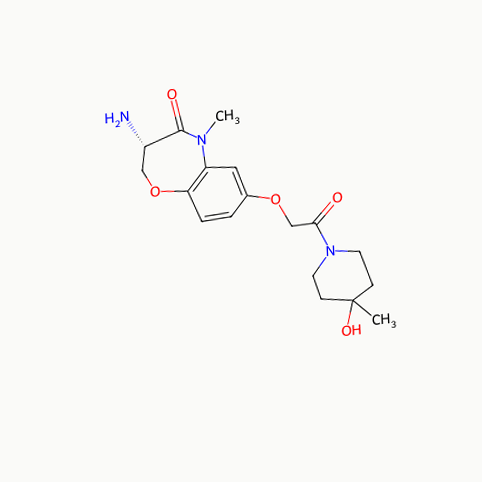 CN1C(=O)[C@@H](N)COc2ccc(OCC(=O)N3CCC(C)(O)CC3)cc21